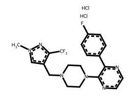 Cl.Cl.Cn1cc(CN2CCN(c3nccnc3-c3ccc(F)cc3)CC2)c(C(F)(F)F)n1